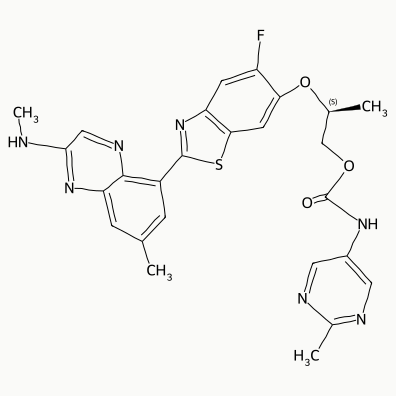 CNc1cnc2c(-c3nc4cc(F)c(O[C@@H](C)COC(=O)Nc5cnc(C)nc5)cc4s3)cc(C)cc2n1